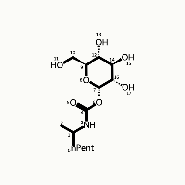 CCCCCC(C)NC(=O)O[C@@H]1O[C@@H](CO)[C@H](O)[C@@H](O)[C@@H]1O